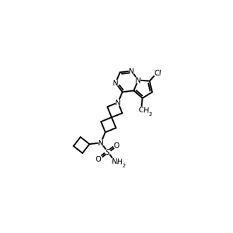 Cc1cc(Cl)n2ncnc(N3CC4(CC(N(C5CCC5)S(N)(=O)=O)C4)C3)c12